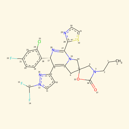 CCCN1CC2(CC3=C(c4ccn(C(F)F)n4)[C@H](c4ccc(F)cc4Cl)N=C(c4nccs4)N3C2)OC1=O